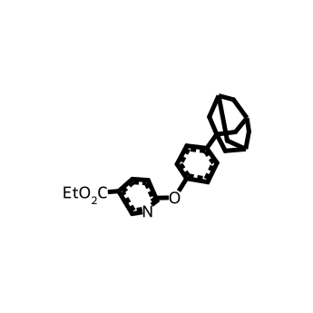 CCOC(=O)c1ccc(Oc2ccc(C34CC5CC(CC(C5)C3)C4)cc2)nc1